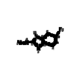 CNc1nc2ccc(F)cc2s1